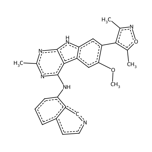 COc1cc2c(cc1-c1c(C)noc1C)[nH]c1nc(C)nc(Nc3cccc4ccncc34)c12